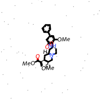 CC[C@@H]1CN2CC[C@@]34OCCO[C@@]3(Nc3cc(-c5ccccc5)cc(OC)c34)[C@@H]2C[C@@H]1/C(=C\OC)C(=O)OC